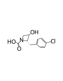 O=C(O)N1CC(O)[C@@H]1Cc1ccc(Cl)cc1